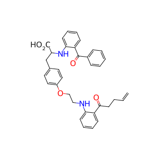 C=CCCC(=O)c1ccccc1NCCOc1ccc(CC(Nc2ccccc2C(=O)c2ccccc2)C(=O)O)cc1